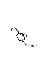 CCCCCN1CCC(CCC)CC1.Cl